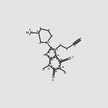 C#CCCn1c(N2CCCC(N)C2)nc2c1c(=O)n(C)c(=O)n2C